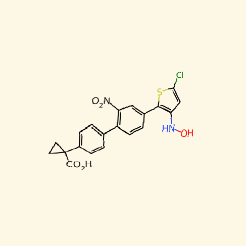 O=C(O)C1(c2ccc(-c3ccc(-c4sc(Cl)cc4NO)cc3[N+](=O)[O-])cc2)CC1